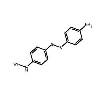 CCCNc1ccc(SSc2ccc(N)cc2)cc1